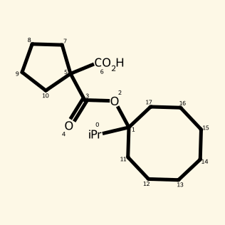 CC(C)C1(OC(=O)C2(C(=O)O)CCCC2)CCCCCCC1